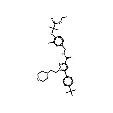 CCOC(=O)C(C)(C)Oc1ccc(CNC(=O)c2cc(-c3ccc(C(C)(C)C)cc3)n(CCN3CCOCC3)n2)cc1C